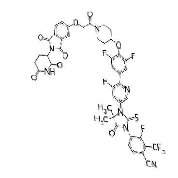 CC1(C)C(=O)N(c2ccc(C#N)c(C(F)(F)F)c2F)C(=S)N1c1cnc(-c2cc(F)c(OC3CCN(C(=O)COc4ccc5c(c4)C(=O)N(C4CCC(=O)NC4=O)C5=O)CC3)c(F)c2)c(F)c1